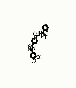 COc1ccc(-c2noc(C3CCN(C(=O)CNC(c4ccccc4)C(F)(F)F)CC3)n2)cc1OC